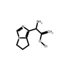 C=C(OCC)C(N)c1ncn2c1CCC2